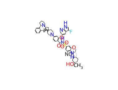 CC(C)c1ccccc1[C@H]1CCCN1C1CC2(CCN(c3ccc(C(=O)NS(=O)(=O)c4cc5c(c([N+](=O)[O-])c4)N[C@@H](C[C@H]4CC[C@](C)(O)CC4)CO5)c(Oc4cnc5[nH]cc(F)c5c4)c3)CC2)C1